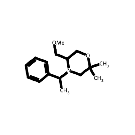 COCC1COC(C)(C)CN1C(C)c1ccccc1